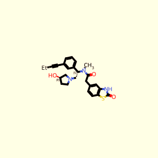 CCC#Cc1cccc([C@@H](CN2CC[C@@H](O)C2)N(C)C(=O)Cc2ccc3sc(=O)[nH]c3c2)c1